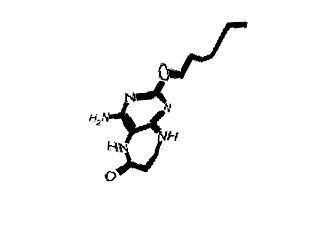 CCCCCOc1nc(N)c2c(n1)NCCC(=O)N2